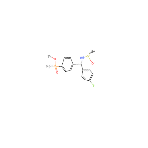 CCOP(C)(=O)c1ccc([C@H](N[S@+]([O-])C(C)(C)C)c2ccc(F)cc2)cc1